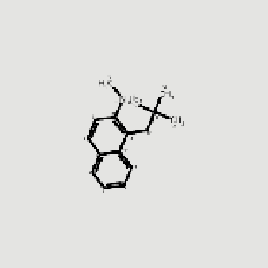 CNc1ccc2ccccc2c1CC(C)(C)C